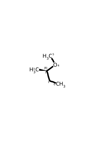 CC[C@@H](C)OC